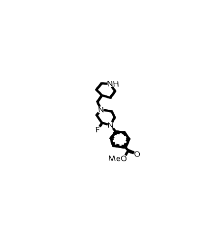 COC(=O)c1ccc(N2CCN(CC3CCNCC3)CC2F)cc1